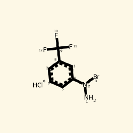 Cl.NN(Br)c1cccc(C(F)(F)F)c1